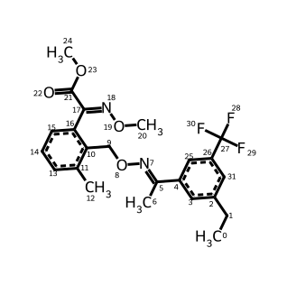 CCc1cc(/C(C)=N/OCc2c(C)cccc2/C(=N\OC)C(=O)OC)cc(C(F)(F)F)c1